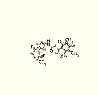 Cn1c(=O)c2c(CC(=O)Nc3nc(-c4c(F)ccc(C(F)(F)F)c4F)cs3)cccc2n(C)c1=O